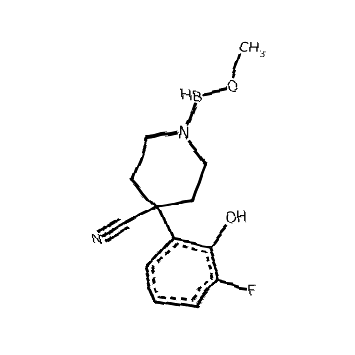 COBN1CCC(C#N)(c2cccc(F)c2O)CC1